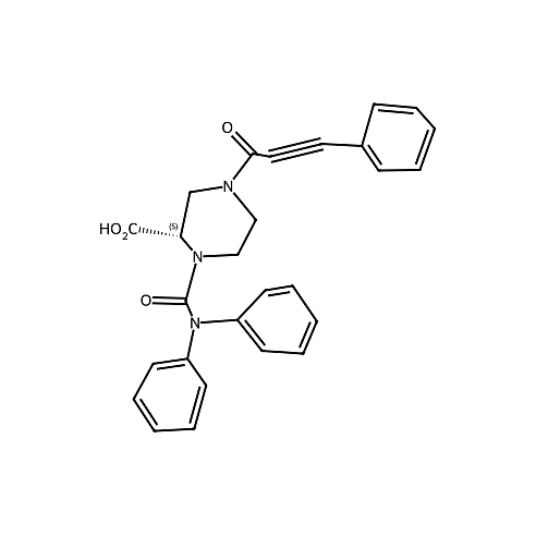 O=C(O)[C@@H]1CN(C(=O)C#Cc2ccccc2)CCN1C(=O)N(c1ccccc1)c1ccccc1